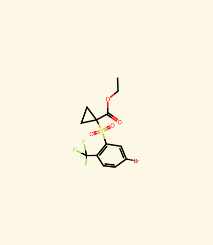 CCOC(=O)C1(S(=O)(=O)c2cc(Br)ccc2C(F)(F)F)CC1